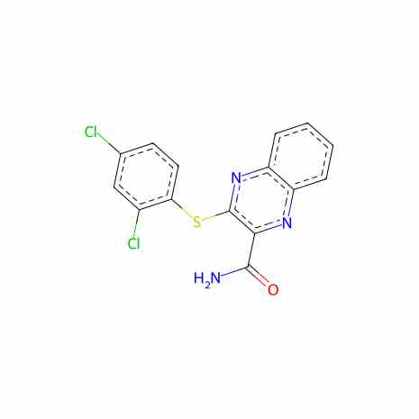 NC(=O)c1nc2ccccc2nc1Sc1ccc(Cl)cc1Cl